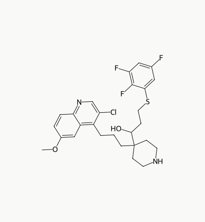 COc1ccc2ncc(Cl)c(CCCC3(C(O)CCSc4cc(F)cc(F)c4F)CCNCC3)c2c1